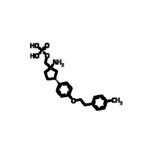 Cc1ccc(CCOc2ccc([C@@H]3CC[C@](N)(COP(=O)(O)O)C3)cc2)cc1